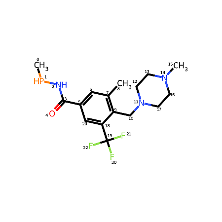 CPNC(=O)c1cc(C)c(CN2CCN(C)CC2)c(C(F)(F)F)c1